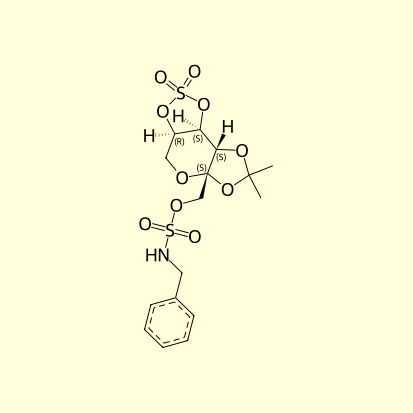 CC1(C)O[C@H]2[C@@H]3OS(=O)(=O)O[C@@H]3CO[C@@]2(COS(=O)(=O)NCc2ccccc2)O1